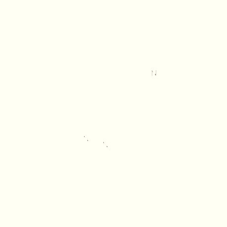 c1ccc(-c2cnc(-n3c4ccccc4c4cc(-c5ccc6c(c5)c5ccccc5n6-c5ccccc5)ccc43)c3ccccc23)cc1